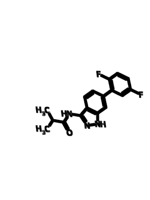 CC(C)C(=O)Nc1n[nH]c2cc(-c3cc(F)ccc3F)ccc12